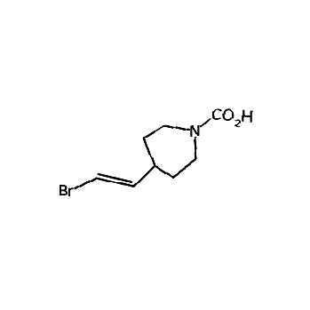 O=C(O)N1CCC(C=CBr)CC1